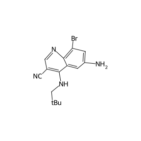 CC(C)(C)CNc1c(C#N)cnc2c(Br)cc(N)cc12